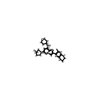 Cc1nc2c(nc1-c1cn3nc(N4CC[C@H](F)C4)cc(NC4CCOCC4)c3n1)CCCC2